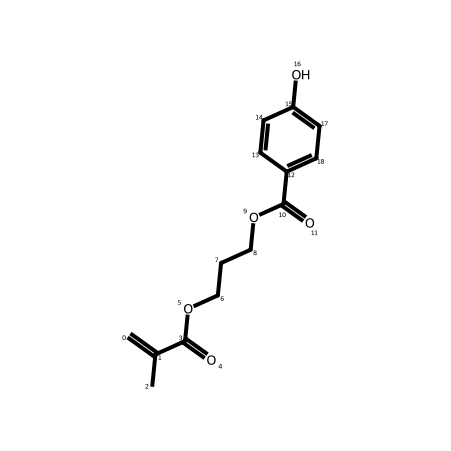 C=C(C)C(=O)OCCCOC(=O)c1ccc(O)cc1